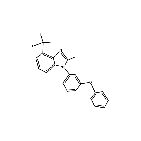 Cc1nc2c(C(F)(F)F)cccc2n1-c1cccc(Oc2ccccc2)c1